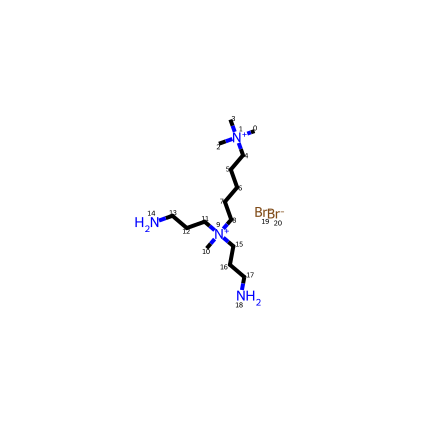 C[N+](C)(C)CCCCC[N+](C)(CCCN)CCCN.[Br-].[Br-]